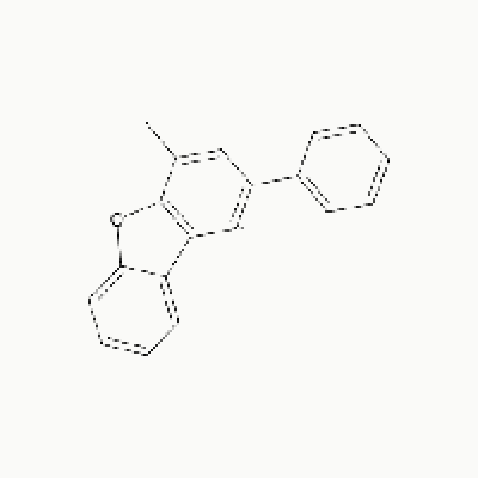 Cc1cc(-c2ccccc2)[c]c2c1oc1ccccc12